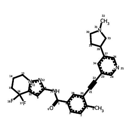 Cc1ccc(C(=O)Nc2cc3n(n2)CCCC3(F)F)cc1C#Cc1cncc(C2CCN(C)C2)c1